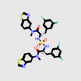 CN(C(=O)[C@H](Cc1cc(F)cc(F)c1)NS(=O)(=O)N[C@@H](Cc1cc(F)cc(F)c1)C(=O)N(C)c1ccc2scnc2c1)c1ccc2scnc2c1